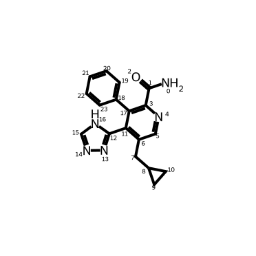 NC(=O)c1ncc(CC2CC2)c(-c2nnc[nH]2)c1-c1ccccc1